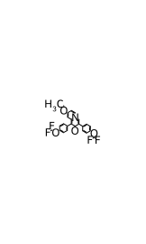 CCOc1ccn2cc(-c3ccc(OC(F)F)cc3)c(=O)c(-c3ccc(OC(F)F)cc3)c2c1